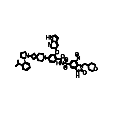 CC(C)c1ccccc1[C@@H]1CCCN1C1CC2(CCN(c3ccc(C(=O)NS(=O)(=O)c4cc(N=O)c5c(c4)[nH]c(=O)n5CC4CCOCC4)c(Oc4cnc5[nH]ccc5c4)c3)CC2)C1